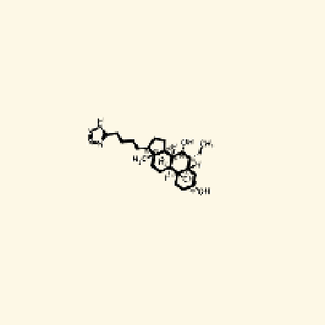 CC[C@H]1[C@@H](O)[C@@H]2[C@H](CC[C@]3(C)[C@@H](CCCCc4nnn[nH]4)CC[C@@H]23)[C@@]2(C)CC[C@@H](O)C[C@@H]12